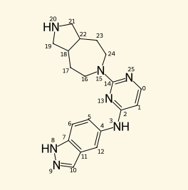 c1cc(Nc2ccc3[nH]ncc3c2)nc(N2CCC3CNCC3CC2)n1